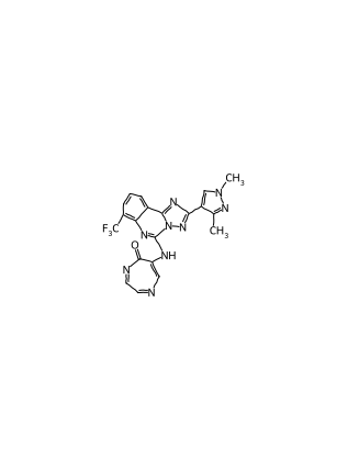 Cc1nn(C)cc1-c1nc2c3cccc(C(F)(F)F)c3nc(Nc3cnccnc3=O)n2n1